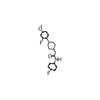 COc1ccc(C2CCC(CC(=O)Nc3ccc(F)cc3)CC2)c(F)c1